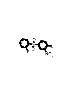 O=[N+]([O-])c1cc(S(=O)(=O)c2ccccc2F)ccc1Cl